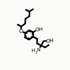 CCC(N)(CO)CCc1ccc(OC(C)CCCC(C)C)cc1O